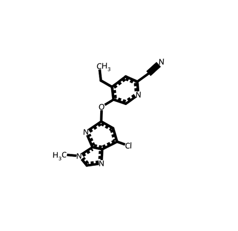 CCc1cc(C#N)ncc1Oc1cc(Cl)c2ncn(C)c2n1